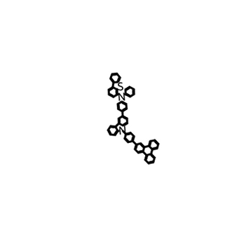 c1ccc(N(c2ccc(-c3ccc4c(c3)c3ccccc3n4-c3ccc(-c4ccc5c6ccccc6c6ccccc6c5c4)cc3)cc2)c2cccc3c2sc2ccccc23)cc1